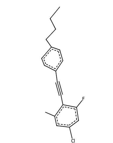 CCCCc1ccc(C#Cc2c(C)cc(Cl)cc2F)cc1